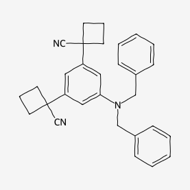 N#CC1(c2cc(N(Cc3ccccc3)Cc3ccccc3)cc(C3(C#N)CCC3)c2)CCC1